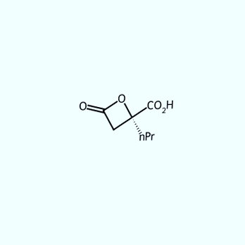 CCC[C@]1(C(=O)O)CC(=O)O1